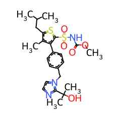 COC(=O)NS(=O)(=O)c1sc(CC(C)C)c(C)c1-c1ccc(Cn2ccnc2C(C)(C)O)cc1